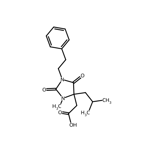 CC(C)CC1(CC(=O)O)C(=O)N(CCc2ccccc2)C(=O)N1C